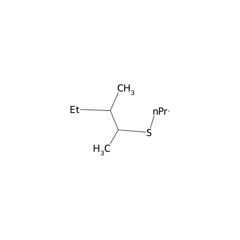 CC[CH]SC(C)C(C)CC